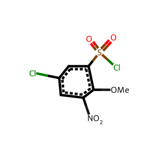 COc1c([N+](=O)[O-])cc(Cl)cc1S(=O)(=O)Cl